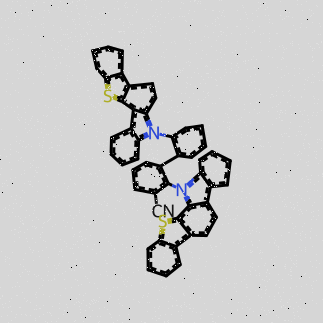 N#Cc1cccc(-c2ccccc2-n2c3ccccc3c3c4sc5ccccc5c4ccc32)c1-n1c2ccccc2c2ccc3c4ccccc4sc3c21